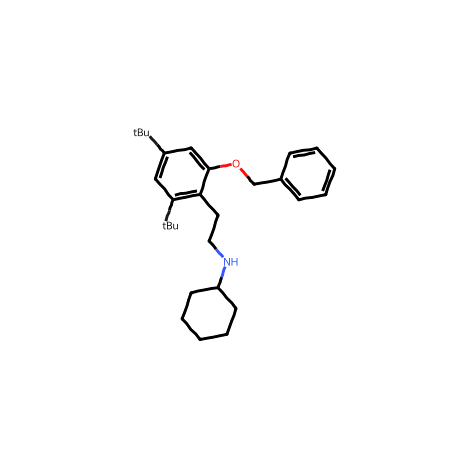 CC(C)(C)c1cc(OCc2ccccc2)c(CCNC2CCCCC2)c(C(C)(C)C)c1